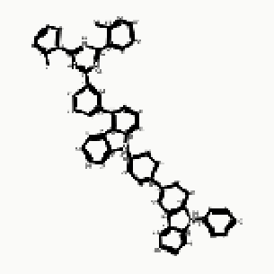 Cc1ccccc1-c1nc(-c2cccc(-c3cccc4c3c3ccccc3n4C3=CC=C(C4=Cc5c(n(-c6ccccc6)c6ccccc56)CC4)CC3)c2)nc(-c2ccccc2C)n1